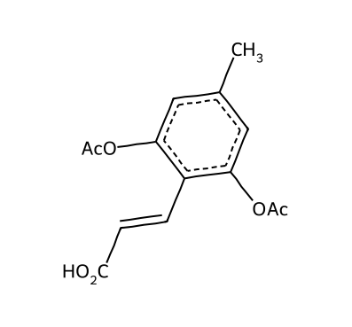 CC(=O)Oc1cc(C)cc(OC(C)=O)c1/C=C/C(=O)O